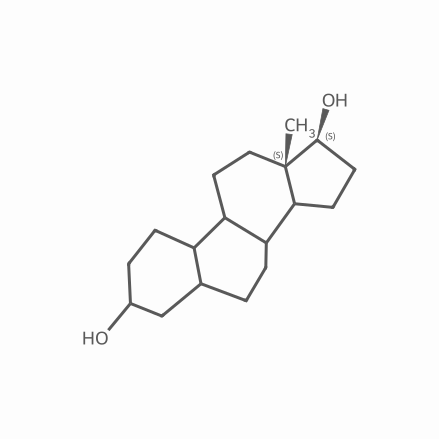 C[C@]12CCC3C4CCC(O)CC4CCC3C1CC[C@@H]2O